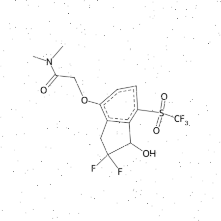 CN(C)C(=O)COc1ccc(S(=O)(=O)C(F)(F)F)c2c1CC(F)(F)C2O